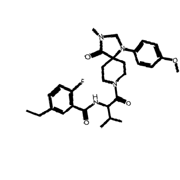 CCc1ccc(F)c(C(=O)NC(C(=O)N2CCC3(CC2)C(=O)N(C)CN3c2ccc(OC)cc2)C(C)C)c1